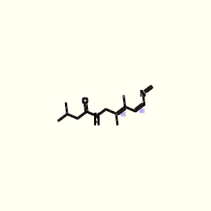 C=N/C=C\C(C)=C(/C)CNC(=O)CC(C)C